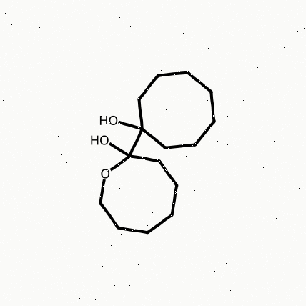 OC1(C2(O)CCCCCCO2)CCCCCCC1